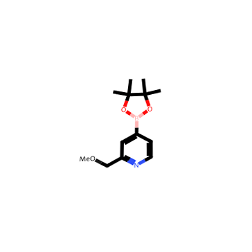 COCc1cc(B2OC(C)(C)C(C)(C)O2)ccn1